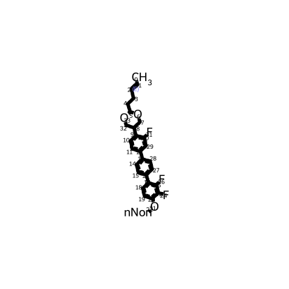 C/C=C/CCC1OCC(c2ccc(-c3ccc(-c4ccc(OCCCCCCCCC)c(F)c4F)cc3)cc2F)CO1